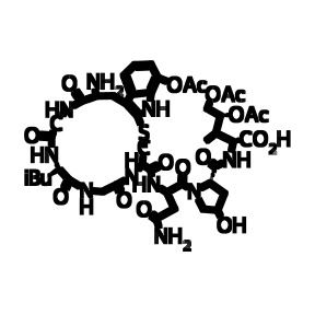 CC[C@H](C)[C@@H]1NC(=O)CNC(=O)C(N)Cc2c([nH]c3c(OC(C)=O)cccc23)SCC(C(=O)NC(CC(N)=O)C(=O)N2CC(O)C[C@H]2C(=O)N[C@H](C(=O)O)C(C)[C@H](COC(C)=O)OC(C)=O)NC(=O)CNC1=O